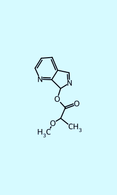 COC(C)C(=O)OC1N=Cc2cccnc21